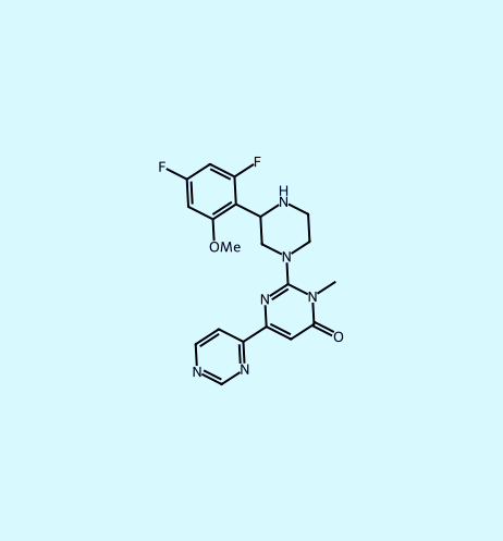 COc1cc(F)cc(F)c1C1CN(c2nc(-c3ccncn3)cc(=O)n2C)CCN1